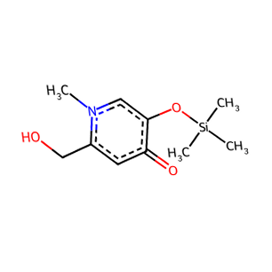 Cn1cc(O[Si](C)(C)C)c(=O)cc1CO